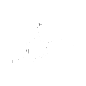 COc1ccc(I)nc1O